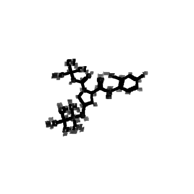 CC(C)(C)OC(=O)N1CC(O[Si](C)(C)C(C)(C)C)CC1C(=O)Nc1ccc(I)cc1F